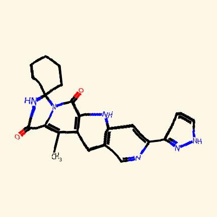 Cc1c2c(c(=O)n3c1C(=O)NC31CCCCC1)Nc1cc(-c3cc[nH]n3)ncc1C2